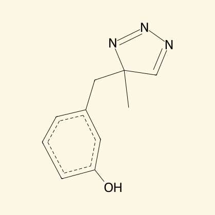 CC1(Cc2cccc(O)c2)C=NN=N1